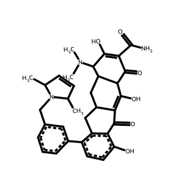 CC1C=CC(C)N1Cc1cccc(-c2ccc(O)c3c2CC2CC4C(C(=O)C(C(N)=O)=C(O)C4N(C)C)C(O)=C2C3=O)c1